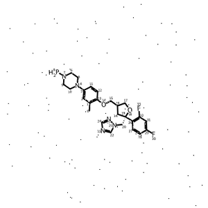 Cc1cc(N2CCN(P)CC2)ccc1OCC1CO[C@@](Cn2cncn2)(c2ccc(F)cc2F)C1